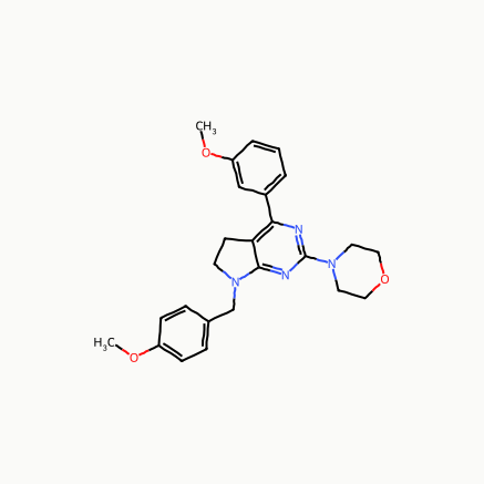 COc1ccc(CN2CCc3c(-c4cccc(OC)c4)nc(N4CCOCC4)nc32)cc1